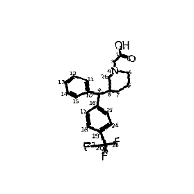 O=C(O)CN1CCCC(C(c2ccccc2)c2ccc(C(F)(F)F)cc2)C1